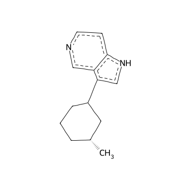 C[C@@H]1CCCC(c2c[nH]c3ccncc23)C1